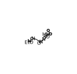 CCN(C)C(=O)[C@@H]1CCCN(CCCCCC(=O)N(C)CCN2CCC(OC(=O)Nc3ccccc3-c3ccccc3)CC2)C1